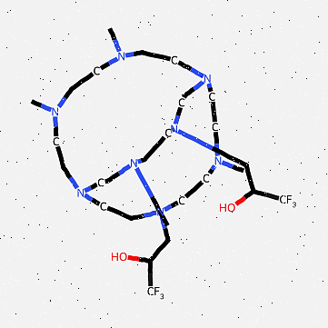 CN1CCN(C)CCN2CCN(C)CCN(CC(O)C(F)(F)F)CCN(CC1)CCN(C)CCN(CC(O)C(F)(F)F)CC2